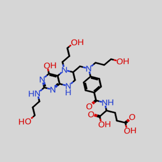 O=C(O)CCC(NC(=O)c1ccc(N(CCCO)CC2CNc3nc(NCCCO)nc(O)c3N2CCCO)cc1)C(=O)O